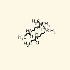 C=CC(=O)NCCCN(C)C.C=CC(=O)NCCCN(C)C